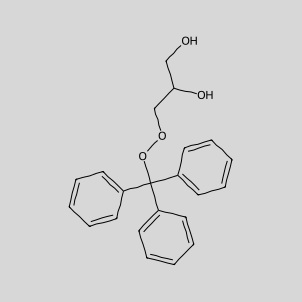 OCC(O)COOC(c1ccccc1)(c1ccccc1)c1ccccc1